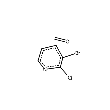 C=O.Clc1ncccc1Br